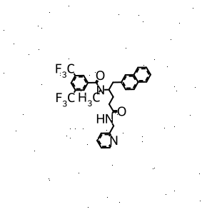 CN(C(=O)c1cc(C(F)(F)F)cc(C(F)(F)F)c1)C(CCC(=O)NCc1ccccn1)Cc1ccc2ccccc2c1